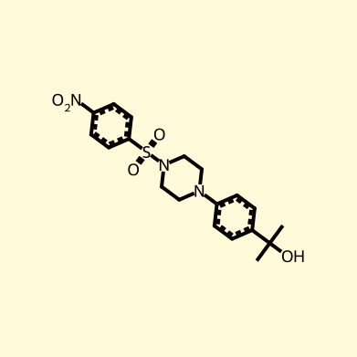 CC(C)(O)c1ccc(N2CCN(S(=O)(=O)c3ccc([N+](=O)[O-])cc3)CC2)cc1